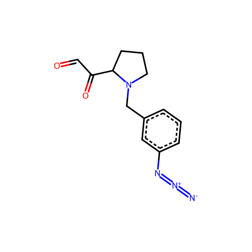 [N-]=[N+]=Nc1cccc(CN2CCCC2C(=O)C=O)c1